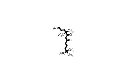 CC(=O)CCCC(C)(C)C(=O)CC(=O)CCCC(C)(C)[C]=O